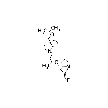 CC(C)OCC12CCCC1N(CCC(C)OCC13CCCN1C/C(=C\F)C3)CCC2